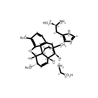 CC(=O)Oc1ccc2c3c1O[C@H]1[C@@H](OC(C)=O)C=C[C@H]4[C@@H](C2)N(C)CC[C@@]341.NCC(=O)O.N[C@@H](Cc1cnc[nH]1)C(=O)O